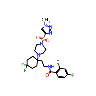 Cn1cc(S(=O)(=O)N2CCN(C3(CCNC(=O)c4ccc(F)cc4Cl)CCC(F)(F)CC3)CC2)nn1